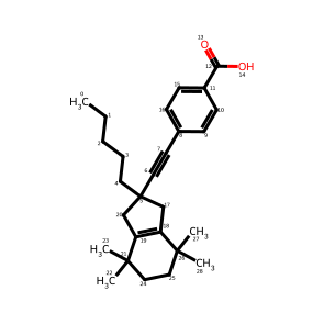 CCCCCC1(C#Cc2ccc(C(=O)O)cc2)CC2=C(C1)C(C)(C)CCC2(C)C